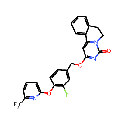 O=c1nc(OCc2ccc(Oc3cccc(C(F)(F)F)n3)c(F)c2)cc2n1CCc1ccccc1-2